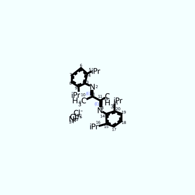 CC(=N\c1c(C(C)C)cccc1C(C)C)/C(C)=N/c1c(C(C)C)cccc1C(C)C.[Cl-].[Cl-].[Ni+2]